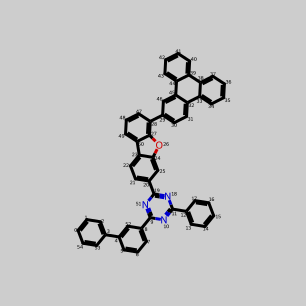 c1ccc(-c2cccc(-c3nc(-c4ccccc4)nc(-c4ccc5c(c4)oc4c(-c6ccc7c8ccccc8c8ccccc8c7c6)cccc45)n3)c2)cc1